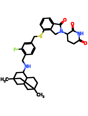 CC12CCC3C(C1)CC(C)(CC3NCc1ccc(CSc3cccc4c3CN(C3CCC(=O)NC3=O)C4=O)cc1F)C2